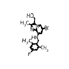 Cc1cc(F)cc(C)c1CNc1cc(Br)cn2c(CO)c(C)nc12